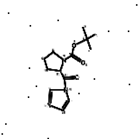 CC(C)(C)OC(=O)N1CCC[C@@H]1C(=O)n1ccnc1